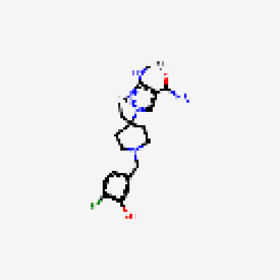 CCOC(=O)Nc1nn(C2(CC#N)CCN(Cc3ccc(Br)c(O)c3)CC2)cc1C(N)=O